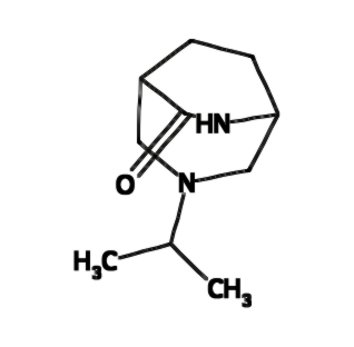 CC(C)N1CC2CCC(C1)C(=O)N2